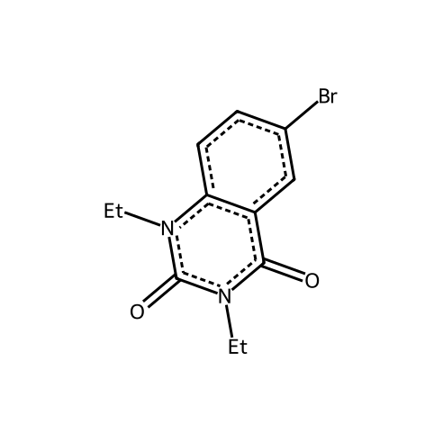 CCn1c(=O)c2cc(Br)ccc2n(CC)c1=O